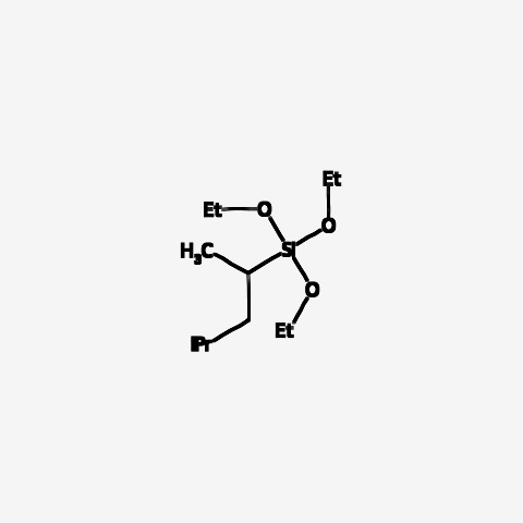 CCO[Si](OCC)(OCC)C(C)CC(C)C